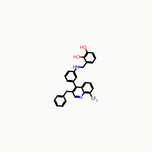 Oc1cccc(CNc2cccc(-c3c(Cc4ccccc4)cnc4c(C(F)(F)F)cccc34)c2)c1O